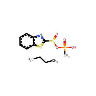 CCCC.CP(=O)(O)OS(=O)c1nc2ccccc2s1